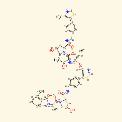 Cc1ncsc1-c1ccc(CNC(=O)[C@@H]2C[C@@H](O)CN2C(=O)[C@@H](NC(CCC(C)C)OCc2ncsc2-c2ccc(CNC(=O)[C@@H]3C[C@@H](O)CN3C(=O)[C@H](C(C)C)N3Cc4cccc(C#N)c4C3=O)cc2)[C@H](C)O)cc1